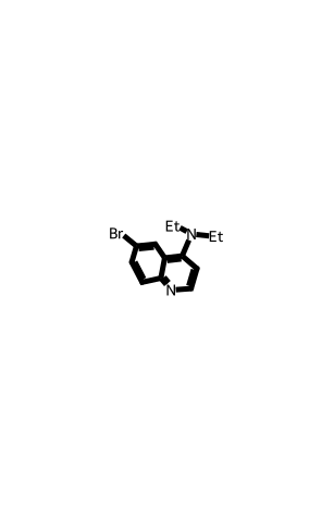 CCN(CC)c1ccnc2ccc(Br)cc12